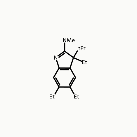 CCCC1(CC)C(NC)=Nc2cc(CC)c(CC)cc21